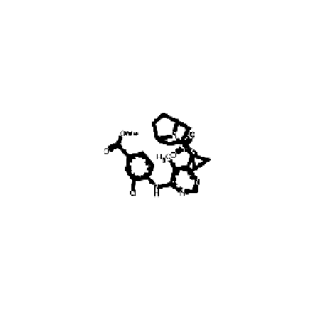 COC(=O)c1ccc(Nc2ncnc(OC3CC4CCC(C3)N4S(=O)(=O)C3CC3)c2C)c(Cl)c1